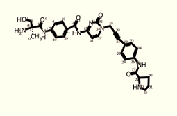 C[C@](N)(CO)C(=O)Nc1ccc(C(=O)Nc2ccn(CC#Cc3ccc(NC(=O)C4CCCN4)cc3)c(=O)n2)cc1